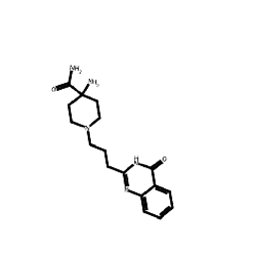 NC(=O)C1(N)CCN(CCCc2nc3ccccc3c(=O)[nH]2)CC1